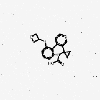 O=C(O)NC1(c2cnccc2-c2ccccc2OC2COC2)CC1